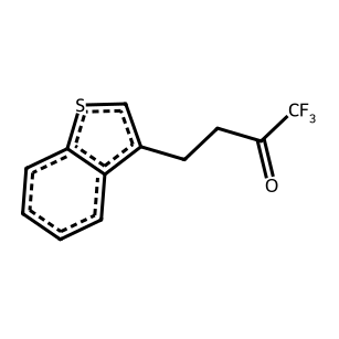 O=C(CCc1csc2ccccc12)C(F)(F)F